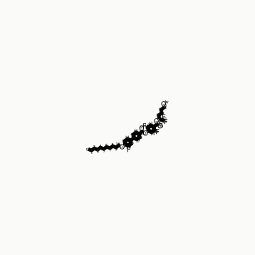 CCCCCCCCCCCOc1ccc(-c2ccc(C(=O)Oc3cc(F)c(C(=O)OC(CCCCOC)C(F)(F)F)cc3F)cc2)cc1F